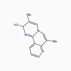 CC(C)(C)C1=CN2C=C(C(C)(C)C)C(O)N=C2c2cccnc21